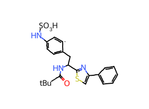 CC(C)(C)C(=O)NC(Cc1[c]cc(NS(=O)(=O)O)cc1)c1nc(-c2ccccc2)cs1